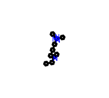 c1ccc(-c2cccc(-c3nc4ccccc4c4c(-c5ccc(-c6ccc(-c7nc(-c8ccccc8)nc(-c8ccccc8)n7)cc6)cc5)cccc34)c2)cc1